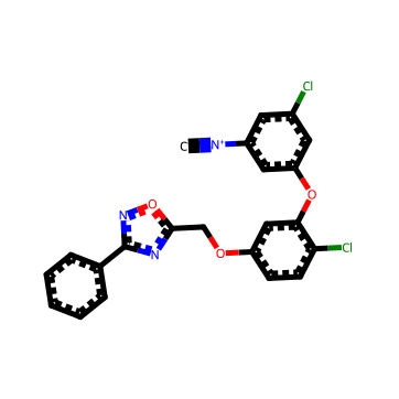 [C-]#[N+]c1cc(Cl)cc(Oc2cc(OCc3nc(-c4ccccc4)no3)ccc2Cl)c1